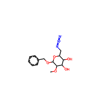 COC1C(OCc2ccccc2)OC(CN=[N+]=[N-])C(O)C1O